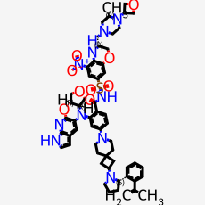 C=C(C)c1ccccc1[C@@H]1CCCN1C1CC2(CCN(c3ccc(C(=O)NS(=O)(=O)c4cc5c(c([N+](=O)[O-])c4)N[C@H](CN4CCN(C6COC6)[C@H](C)C4)CO5)c(N4c5cc6cc[nH]c6nc5O[C@H]5COC[C@H]54)c3)CC2)C1